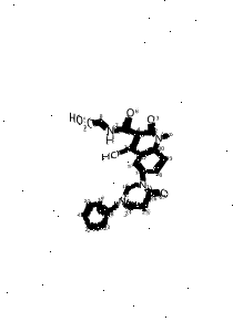 Cn1c(=O)c(C(=O)NCC(=O)O)c(O)c2cc(N3CN(c4ccccc4)CCC3=O)ccc21